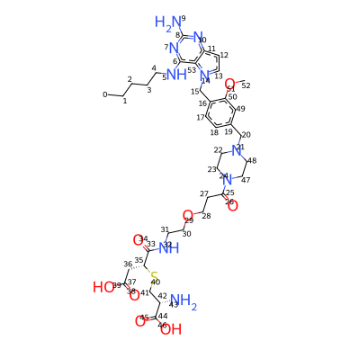 CCCCCNc1nc(N)nc2ccn(Cc3ccc(CN4CCN(C(=O)CCOCCNC(=O)[C@@H](CC(=O)O)SC[C@H](N)C(=O)O)CC4)cc3OC)c12